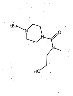 CN(CCO)C(=O)N1CCN(C(C)(C)C)CC1